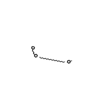 C=Cc1ccc(OCCCCCCCCCCCCCCCCCCC(=O)Oc2ccc(C=CC(=O)c3ccc(F)cc3)cc2)cc1